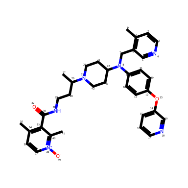 Cc1ccncc1CN(c1ccc(Oc2cccnc2)cc1)C1CCN(C(C)CCNC(=O)c2c(C)cc[n+]([O-])c2C)CC1